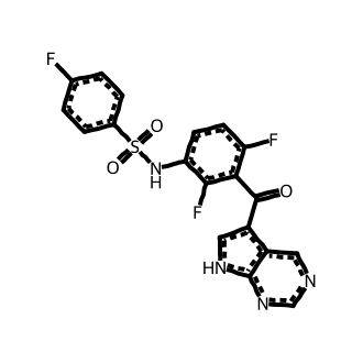 O=C(c1c(F)ccc(NS(=O)(=O)c2ccc(F)cc2)c1F)c1c[nH]c2ncncc12